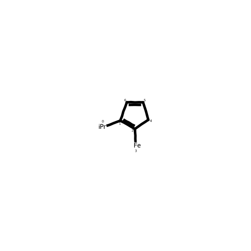 CC(C)C1=[C]([Fe])CC=C1